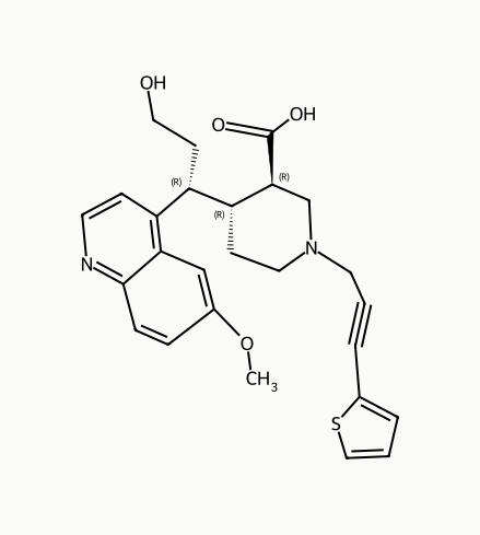 COc1ccc2nccc([C@H](CCO)[C@H]3CCN(CC#Cc4cccs4)C[C@@H]3C(=O)O)c2c1